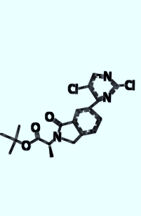 C[C@@H](C(=O)OC(C)(C)C)N1Cc2ccc(-c3nc(Cl)ncc3Cl)cc2C1=O